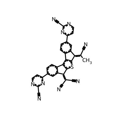 C/C(C#N)=C1/c2cc(-c3ccnc(C#N)n3)ccc2-c2c1sc1c2-c2ccc(-c3ccnc(C#N)n3)cc2C1=C(C#N)C#N